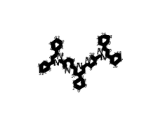 c1ccc(-c2cc(-c3ccc(-c4nc(-c5ccccc5)cc(-c5ccccc5)n4)cn3)nc(-c3ccc(-c4nc(-c5ccccc5)cc(-c5ccccc5)n4)cn3)c2)cc1